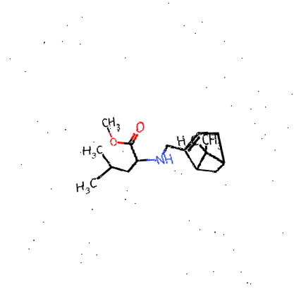 COC(=O)C(CC(C)C)NCC1=CCC2CC1C2(C)C